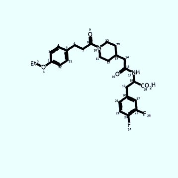 CCOc1ccc(CCC(=O)N2CCC(CC(=O)NC(Cc3ccc(F)c(F)c3)C(=O)O)CC2)cc1